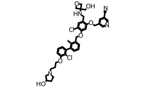 Cc1c(COc2cc(OCc3cncc(C#N)c3)c(CNC3(CO)COC3)cc2Cl)cccc1-c1cccc(OCCCN2CCC(O)C2)c1Cl